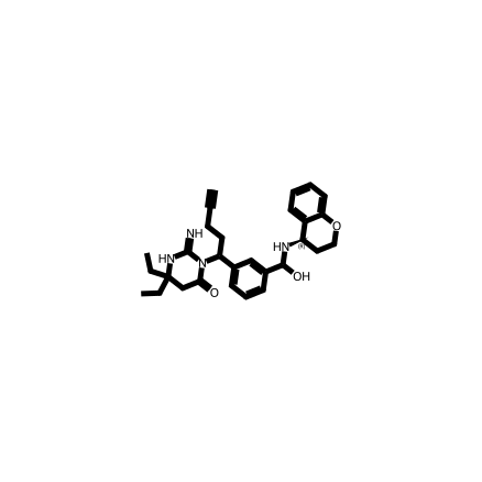 C#CCCC(c1cccc(C(O)N[C@@H]2CCOc3ccccc32)c1)N1C(=N)NC(CC)(CC)CC1=O